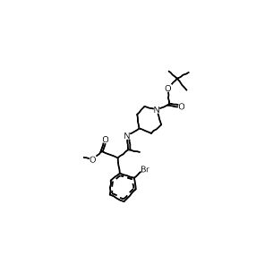 COC(=O)C(C(C)=NC1CCN(C(=O)OC(C)(C)C)CC1)c1ccccc1Br